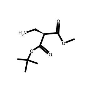 COC(=O)[C@H](CN)C(=O)OC(C)(C)C